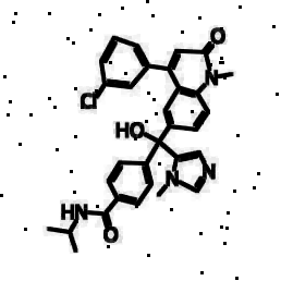 CC(C)NC(=O)c1ccc(C(O)(c2ccc3c(c2)c(-c2cccc(Cl)c2)cc(=O)n3C)c2cncn2C)cc1